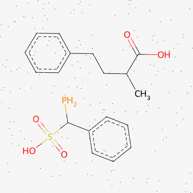 CC(CCc1ccccc1)C(=O)O.O=S(=O)(O)C(P)c1ccccc1